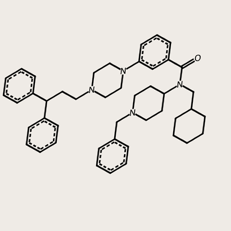 O=C(c1cccc(N2CCN(CCC(c3ccccc3)c3ccccc3)CC2)c1)N(CC1CCCCC1)C1CCN(Cc2ccccc2)CC1